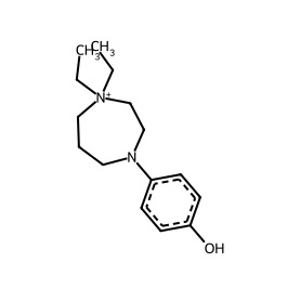 CC[N+]1(CC)CCCN(c2ccc(O)cc2)CC1